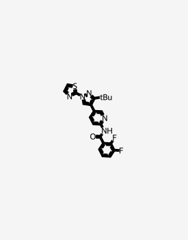 CC(C)(C)c1nn(-c2nccs2)cc1-c1ccc(NC(=O)c2cccc(F)c2F)nc1